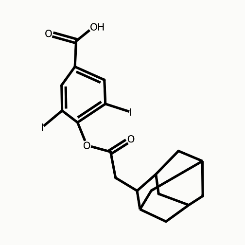 O=C(CC1C2CC3CC(C2)CC1C3)Oc1c(I)cc(C(=O)O)cc1I